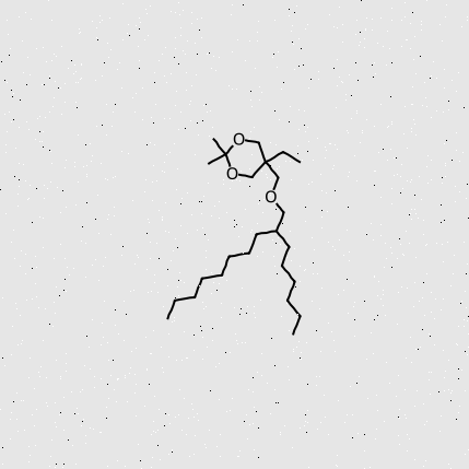 CCCCCCCCC(CCCCCC)COCC1(CC)COC(C)(C)OC1